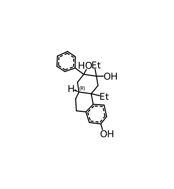 CCC12CC(O)(CC)C(O)(c3ccccc3)C[C@H]1CCc1cc(O)ccc12